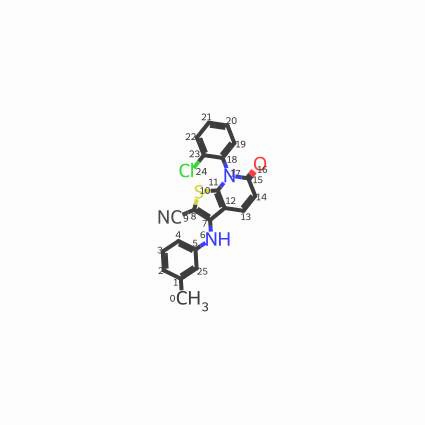 Cc1cccc(Nc2c(C#N)sc3c2ccc(=O)n3-c2ccccc2Cl)c1